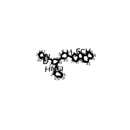 CC1(C)c2cc(-c3cccc(-c4cc(-c5nc6ccccc6o5)cc(C5Nc6ccccc6O5)c4)c3)ccc2-c2ccc3ccccc3c21